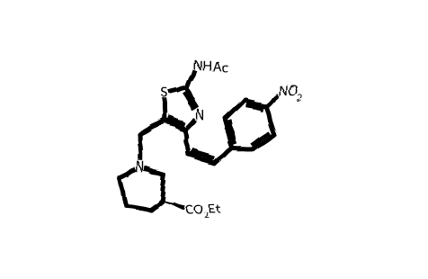 CCOC(=O)[C@H]1CCCN(Cc2sc(NC(C)=O)nc2/C=C\c2ccc([N+](=O)[O-])cc2)C1